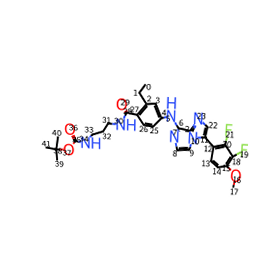 CCc1cc(Nc2nccn3c(-c4ccc(OC)c(F)c4F)cnc23)ccc1C(=O)NCCCNC(=O)OC(C)(C)C